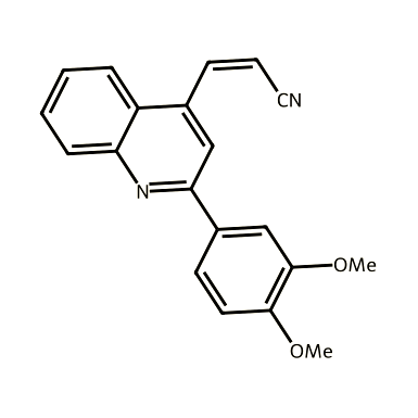 COc1ccc(-c2cc(/C=C\C#N)c3ccccc3n2)cc1OC